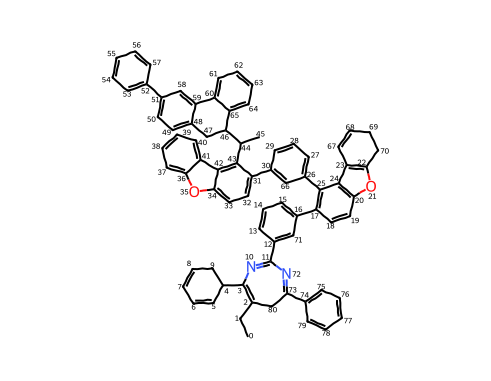 CCC1=C(C2C=CC=CC2)N=C(c2cccc(-c3ccc4oc5c(c4c3-c3cccc(-c4ccc6oc7ccccc7c6c4C(C)C4Cc6ccc(-c7ccccc7)cc6-c6ccccc64)c3)C=CCC5)c2)N=C(c2ccccc2)C1